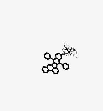 CC1(C)OB(c2ccc3c(-c4ccccc4)c4c(c(-c5ccccc5)c3c2)-c2cccc3c2c-4cc2ccccc23)OC1(C)C